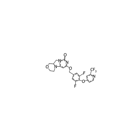 O=c1nc(OCc2cc(F)c(Oc3ccnc(C(F)(F)F)c3)c(F)c2)cc2n1CC1COCCN21